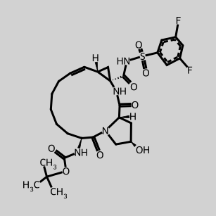 CC(C)(C)OC(=O)N[C@H]1CCCCC/C=C\[C@@H]2C[C@@]2(C(=O)NS(=O)(=O)c2cc(F)cc(F)c2)NC(=O)[C@@H]2C[C@@H](O)CN2C1=O